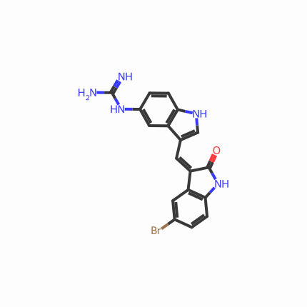 N=C(N)Nc1ccc2[nH]cc(C=C3C(=O)Nc4ccc(Br)cc43)c2c1